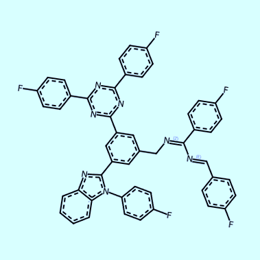 Fc1ccc(/C=N/C(=N\Cc2cc(-c3nc(-c4ccc(F)cc4)nc(-c4ccc(F)cc4)n3)cc(-c3nc4ccccc4n3-c3ccc(F)cc3)c2)c2ccc(F)cc2)cc1